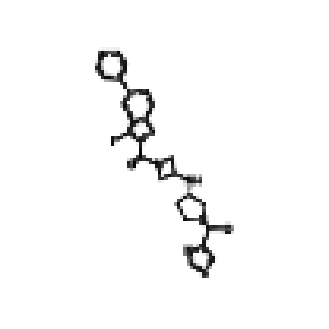 O=C(c1cscn1)N1CC[C@H](NC2CN(C(=O)c3sc4ccc(-c5ccccc5)cc4c3F)C2)C1